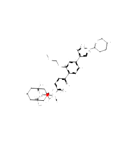 COCOc1cc(-c2cnn(C3CCCCO3)c2)ccc1-c1ccc(N(C)C2C[C@H]3CCC[C@@H](C2)N3C(=O)O)nn1